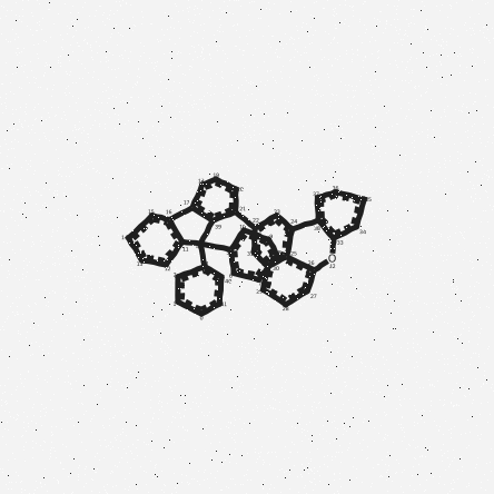 c1ccc(C2(c3ccccc3)c3ccccc3-c3cccc(-c4cc5c6c(cccc6c4)Oc4ccccc4-5)c32)cc1